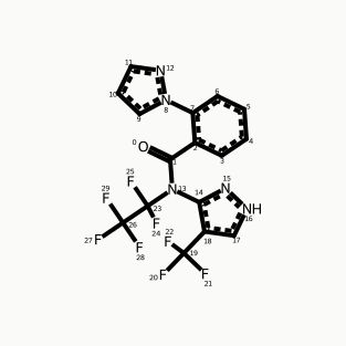 O=C(c1ccccc1-n1cccn1)N(c1n[nH]cc1C(F)(F)F)C(F)(F)C(F)(F)F